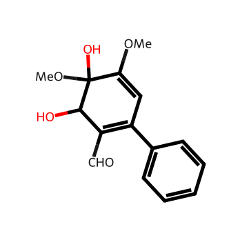 COC1=CC(c2ccccc2)=C(C=O)C(O)C1(O)OC